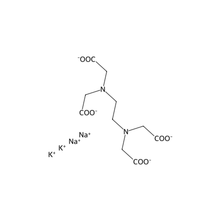 O=C([O-])CN(CCN(CC(=O)[O-])CC(=O)[O-])CC(=O)[O-].[K+].[K+].[Na+].[Na+]